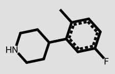 Cc1ccc(F)cc1C1CCNCC1